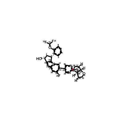 O[C@@H]1C[C@H](c2ccccc2OC(F)F)c2c1nc1cc(F)c(-c3cnc(N4[C@@H]5CO[C@H]6[C@H]5OC[C@H]64)nc3)cn21